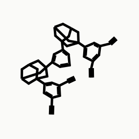 C#Cc1cc(C#C)cc(C23CC4CC(C2)CC(c2cccc(C56CC7CC(CC(c8cc(C#C)cc(C#C)c8)(C7)C5)C6)c2)(C4)C3)c1